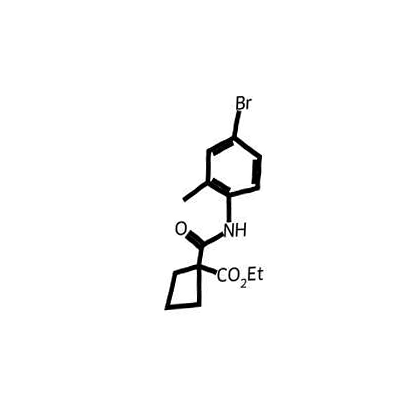 CCOC(=O)C1(C(=O)Nc2ccc(Br)cc2C)CCC1